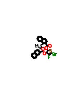 Cc1c(C(=O)O[C@@H]2S[C@H](Br)[C@@H](F)[C@@H]2OC(=O)c2ccc3ccccc3c2)ccc2ccccc12